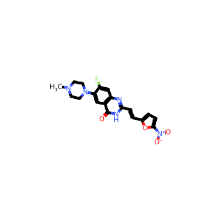 CN1CCN(c2cc3c(=O)[nH]c(/C=C/c4ccc([N+](=O)[O-])o4)nc3cc2F)CC1